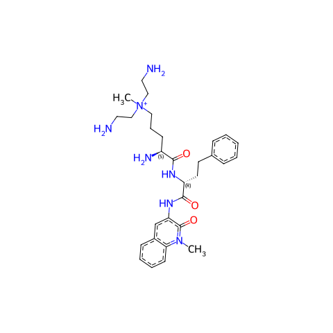 Cn1c(=O)c(NC(=O)[C@@H](CCc2ccccc2)NC(=O)[C@@H](N)CCC[N+](C)(CCN)CCN)cc2ccccc21